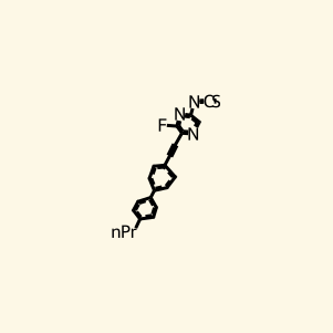 CCCc1ccc(-c2ccc(C#Cc3ncc(N=C=S)nc3F)cc2)cc1